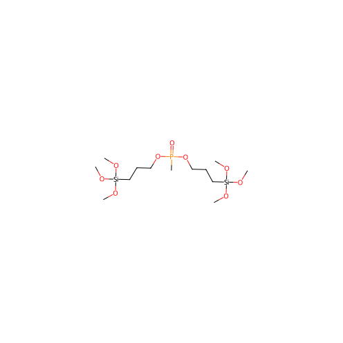 CO[Si](CCCOP(C)(=O)OCCC[Si](OC)(OC)OC)(OC)OC